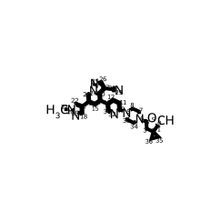 C#CC1(CC(=O)N2CCN(c3ccc(-c4cc(-c5cnn(C)c5)cn5ncc(C#N)c45)cn3)CC2)CC1